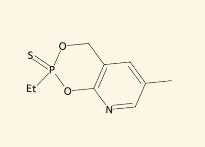 CCP1(=S)OCc2cc(C)cnc2O1